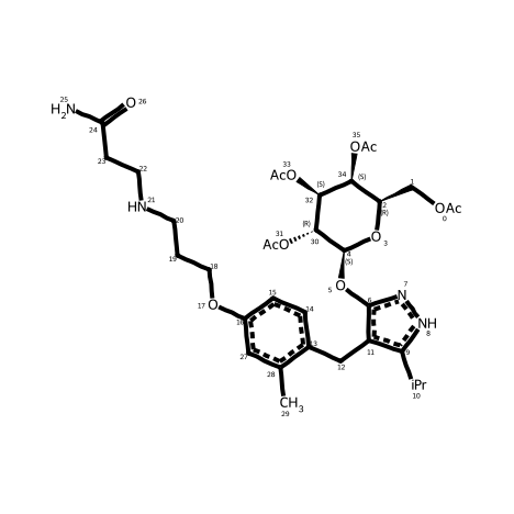 CC(=O)OC[C@H]1O[C@@H](Oc2n[nH]c(C(C)C)c2Cc2ccc(OCCCNCCC(N)=O)cc2C)[C@H](OC(C)=O)[C@@H](OC(C)=O)[C@H]1OC(C)=O